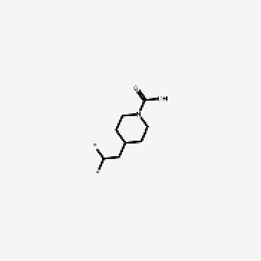 O=C(O)N1CCC(CC(F)F)CC1